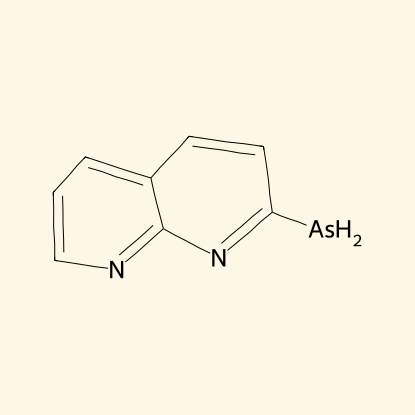 [AsH2]c1ccc2cccnc2n1